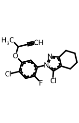 C#CC(C)Oc1cc(-n2nc3c(c2Cl)CCCC3)c(F)cc1Cl